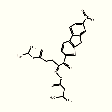 CC(C)CC(=O)O/N=C(/CCC(=O)OC(C)C)C(=O)c1ccc2c(c1)Cc1cc([N+](=O)[O-])ccc1-2